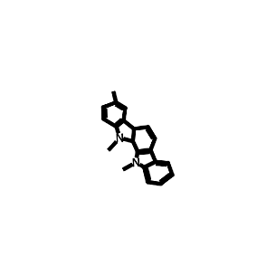 Cc1ccc2c(c1)C1C=Cc3c(n(C)c4ccccc34)C1N2C